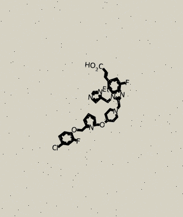 CCn1cncc1Cn1c(CN2CCC(Oc3cccc(COc4ccc(Cl)cc4F)n3)CC2)nc2c(F)cc(/C=C/C(=O)O)cc21